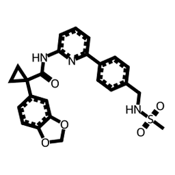 CS(=O)(=O)NCc1ccc(-c2cccc(NC(=O)C3(c4ccc5c(c4)OCO5)CC3)n2)cc1